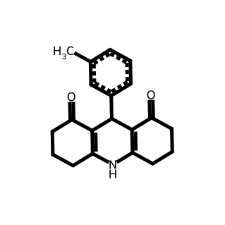 Cc1cccc(C2C3=C(CCCC3=O)NC3=C2C(=O)CCC3)c1